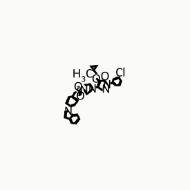 CC1(COc2c(N3CCN(S(=O)(=O)Cc4ccc(-n5ccc6ccccc65)cc4)CC3)cnn(-c3cccc(Cl)c3)c2=O)CC1